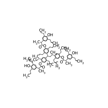 C=CCc1cc(C(C)CC(c2cc(CC=C)c(OC(=O)C(C)c3cc(CC=C)c(O)c(CC=C)c3)cc2CC=C)c2cc(CC=C)c(OC(=O)C(C)c3cc(CC=C)c(O)c(CC=C)c3)cc2CC=C)c(CC=C)cc1OC(=O)C(C)c1cc(CC=C)c(O)c(CC=C)c1